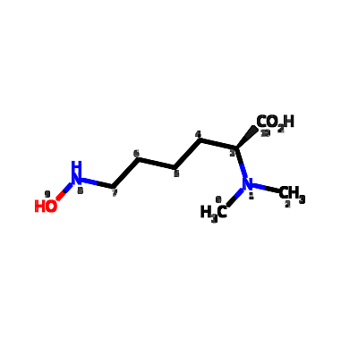 CN(C)[C@@H](CCCCNO)C(=O)O